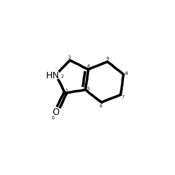 O=C1NCC2=C1CCCC2